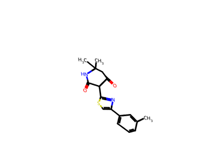 Cc1cccc(-c2csc(C3C(=O)CC(C)(C)NC3=O)n2)c1